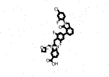 O=C(O)c1ccc2nc(Cc3c(F)cc(-c4cccc5c4C(=O)N(c4ccc(Cl)cc4F)C5)cc3F)n(C[C@@H]3CCO3)c2c1